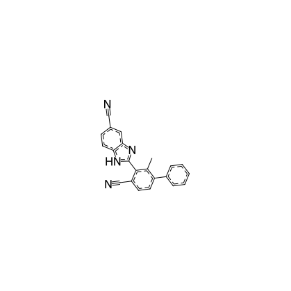 Cc1c(-c2ccccc2)ccc(C#N)c1-c1nc2cc(C#N)ccc2[nH]1